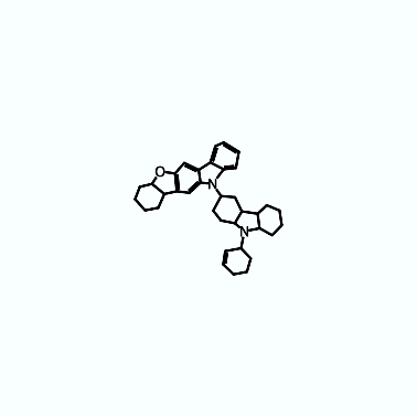 C1=CC(N2C3CCCCC3C3CC(n4c5ccccc5c5cc6c(cc54)C4CCCCC4O6)CCC32)CCC1